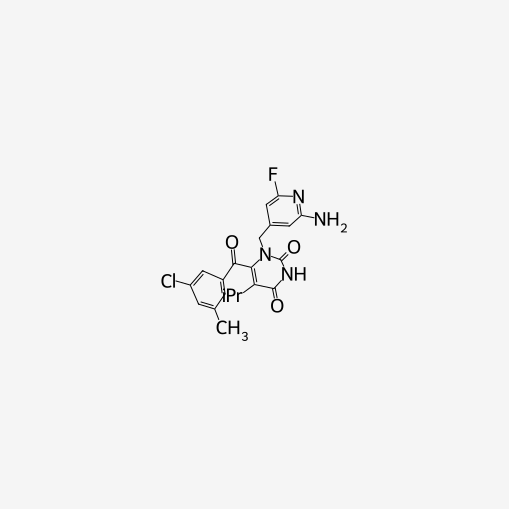 Cc1cc(Cl)cc(C(=O)c2c(C(C)C)c(=O)[nH]c(=O)n2Cc2cc(N)nc(F)c2)c1